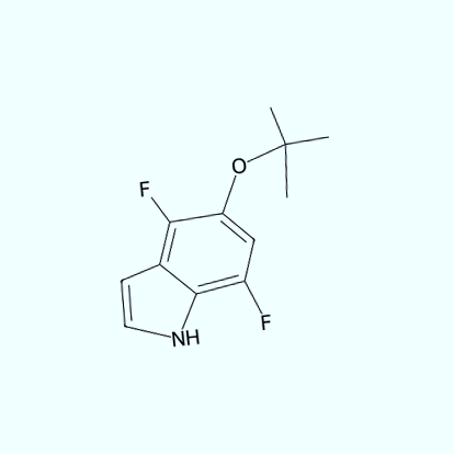 CC(C)(C)Oc1cc(F)c2[nH]ccc2c1F